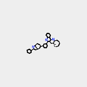 C1=CC2=NC(c3ccccc3)=CC(C=C1c1cccc(-c3nc4ccccc4c4c3CC3CC/C=C\C=C/C3=N4)c1)C2